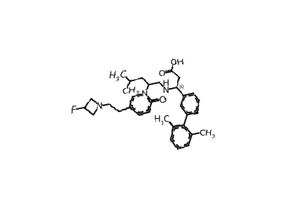 Cc1cccc(C)c1-c1cccc([C@H](CC(=O)O)NCC(CC(C)C)n2cc(CCN3CC(F)C3)ccc2=O)c1